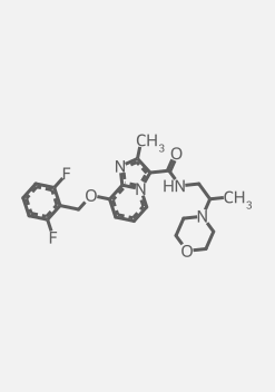 Cc1nc2c(OCc3c(F)cccc3F)cccn2c1C(=O)NCC(C)N1CCOCC1